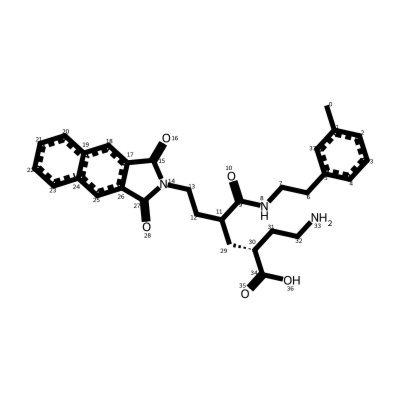 Cc1cccc(CCNC(=O)C(CCN2C(=O)c3cc4ccccc4cc3C2=O)C[C@H](CCN)C(=O)O)c1